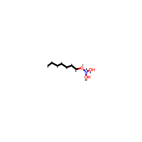 CCCCCCCON(O)O